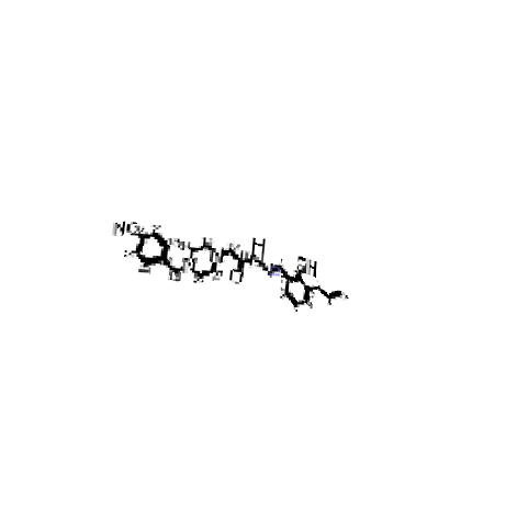 C=CCc1cccc(/C=N/NC(=O)CN2CCN(Cc3ccc(C#N)cc3)CC2)c1O